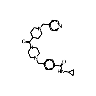 O=C(NC1CC1)c1ccc(CN2CCN(C(=O)C3CCN(Cc4ccncc4)CC3)CC2)cc1